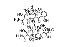 CN(C)[C@@H]1C(O)=C(C(N)=O)C(=O)[C@@]2(O)C(O)=C3C(=O)c4c(O)cccc4[C@@](C)(O)[C@H]3C[C@@H]12.CN(C)[C@@H]1C(O)=C(C(N)=O)C(=O)[C@@]2(O)C(O)=C3C(=O)c4c(O)cccc4[C@@](C)(O)[C@H]3[C@H](O)[C@@H]12.O.O